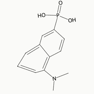 CN(C)c1cccc2cc(P(=O)(O)O)ccc12